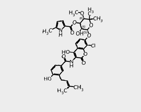 CO[C@@H]1C(OC(=O)c2ccc(C)[nH]2)[C@H](O)[C@H](Oc2ccc3c(O)c(NC(=O)c4ccc(O)c(CC=C(C)C)c4)c(=O)oc3c2Cl)OC1(C)C